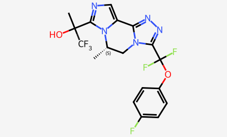 C[C@H]1Cn2c(nnc2C(F)(F)Oc2ccc(F)cc2)-c2cnc(C(C)(O)C(F)(F)F)n21